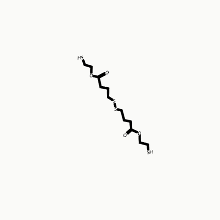 O=C(CCCSSCCCC(=O)OCCS)OCCS